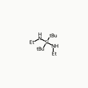 CCN[Si](NCC)(C(C)(C)C)C(C)(C)C